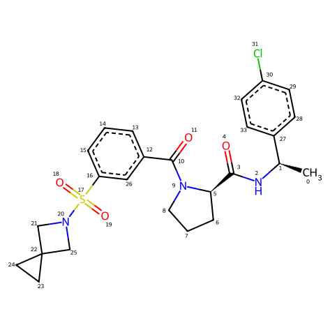 C[C@@H](NC(=O)[C@H]1CCCN1C(=O)c1cccc(S(=O)(=O)N2CC3(CC3)C2)c1)c1ccc(Cl)cc1